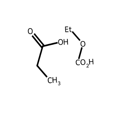 CCC(=O)O.CCOC(=O)O